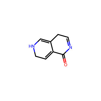 O=C1N=CCC2=CNCC=C12